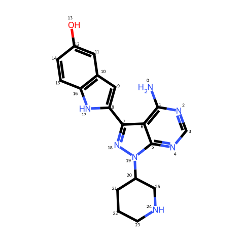 Nc1ncnc2c1c(-c1cc3cc(O)ccc3[nH]1)nn2C1CCCNC1